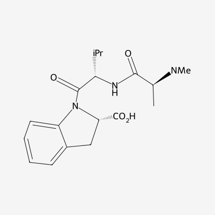 CN[C@@H](C)C(=O)N[C@H](C(=O)N1c2ccccc2C[C@H]1C(=O)O)C(C)C